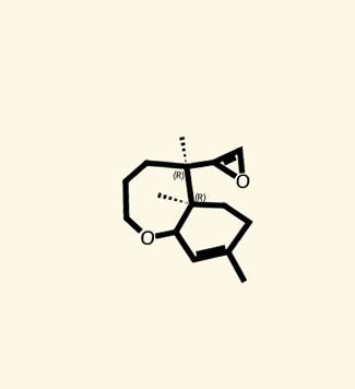 CC1=CC2OCCC[C@@](C)(C3=CO3)[C@@]2(C)CC1